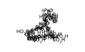 CCCC(=O)OCN(C(=O)[C@@H](NC(=O)[C@H]1CCCCN1C)C(C)CC)[C@H](C[C@@H](O)c1nc(C(=O)N[C@@H](Cc2ccc(O)cc2)C[C@H](C)C(=O)NNC(=O)OCCSSC[C@@H](NC(=O)[C@H](CC(=O)O)NC(=O)[C@H](CC(=O)O)NC(=O)Cc2ccc(CNC(=O)NCC[C@@H](NC(=O)N[C@H](CCC(=O)O)C(=O)O)C(=O)O)cc2)C(=O)O)cs1)C(C)C